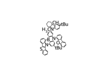 CC(C)(C)c1cc2c3c(c1)-n1c4c(cccc4c4sc5ccccc5c41)B3c1ccc(N3c4ccc(C(C)(C)C)cc4C4(C)CCCCC34C)cc1N2c1cccc2c1oc1ccccc12